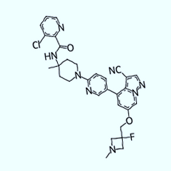 CN1CC(F)(COc2cc(-c3ccc(N4CCC(C)(NC(=O)c5ncccc5Cl)CC4)nc3)c3c(C#N)cnn3c2)C1